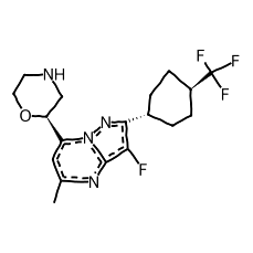 Cc1cc([C@@H]2CNCCO2)n2nc([C@H]3CC[C@H](C(F)(F)F)CC3)c(F)c2n1